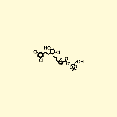 CC1(C)O[C@H](CO)[C@@H](COC(=O)c2ccc(CCC[C@@H]3[C@@H](CCc4cc(Cl)cc(Cl)c4)[C@H](O)C[C@@H]3Cl)s2)O1